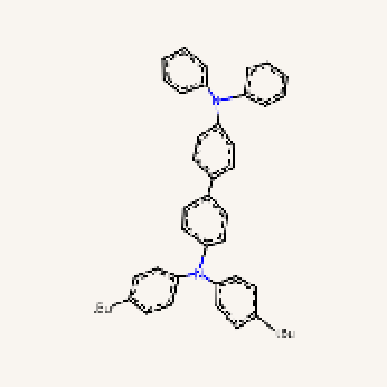 CC(C)(C)c1ccc(N(c2ccc(-c3ccc(N(c4ccccc4)c4ccccc4)cc3)cc2)c2ccc(C(C)(C)C)cc2)cc1